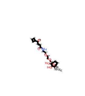 CC(=O)N[C@H]1[C@@H](O)[C@@H](O)[C@]2(COCCOCCNC(=O)/C=C/C(=O)C3CCC3)CC[C@H]1O2